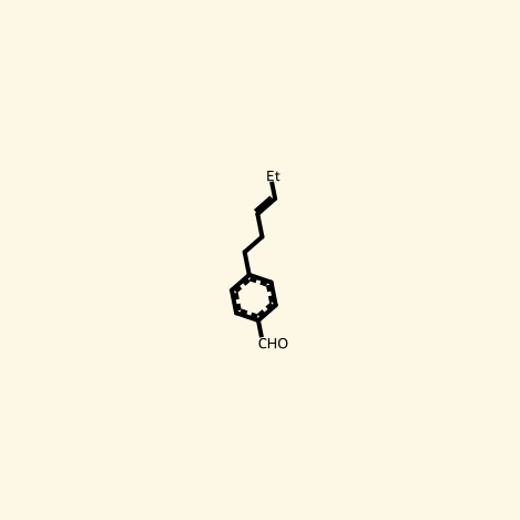 CCC=CCCc1ccc(C=O)cc1